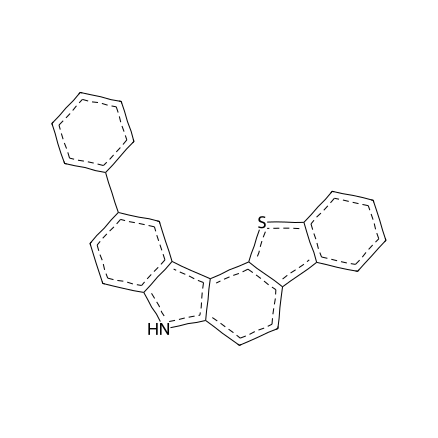 c1ccc(-c2ccc3[nH]c4ccc5c6ccccc6sc5c4c3c2)cc1